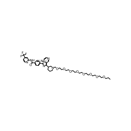 CCCOCCOCCOCCOCCOCCOCCOCCOCN1CCCC(C2=C3C=NC=C[N+]3(N)C(c3ccc(C(=O)Nc4cc(C(F)(F)F)ccn4)cc3)=N2)C1